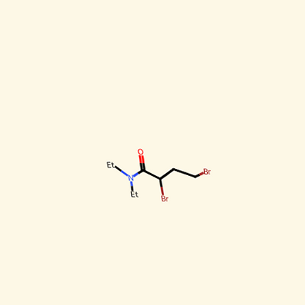 CCN(CC)C(=O)C(Br)CCBr